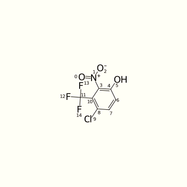 O=[N+]([O-])c1c(O)ccc(Cl)c1C(F)(F)F